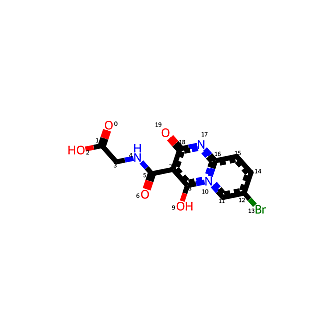 O=C(O)CNC(=O)c1c(O)n2cc(Br)ccc2nc1=O